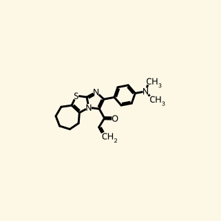 C=CC(=O)c1c(-c2ccc(N(C)C)cc2)nc2sc3c(n12)CCCCC3